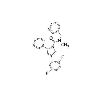 CN(Cc1cccnc1)C(=O)N1CC(c2cc(F)ccc2F)=CC1c1ccccc1